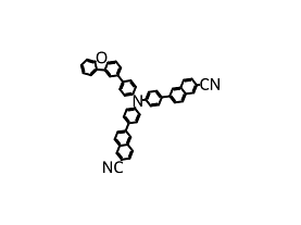 N#Cc1ccc2cc(-c3ccc(N(c4ccc(-c5ccc6cc(C#N)ccc6c5)cc4)c4ccc(-c5ccc6oc7ccccc7c6c5)cc4)cc3)ccc2c1